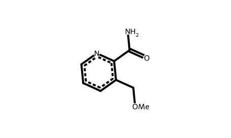 COCc1cccnc1C(N)=O